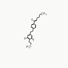 CCCCC=C(F)c1ccc(CCc2cc(F)c(CCC)c(F)c2)cc1